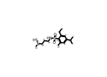 CCc1cc(C(C)C)cc(C)c1S(=O)(=O)NCCCN(C)S